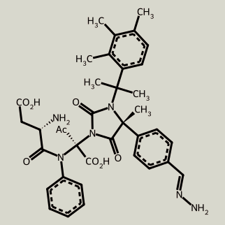 CC(=O)[C@@](C(=O)O)(N1C(=O)N(C(C)(C)c2ccc(C)c(C)c2C)[C@](C)(c2ccc(C=NN)cc2)C1=O)N(C(=O)[C@@H](N)CC(=O)O)c1ccccc1